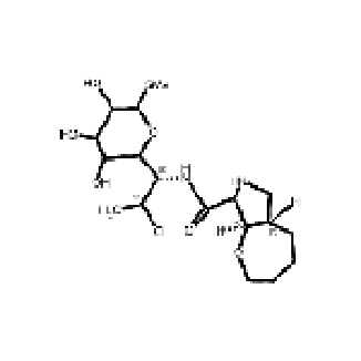 CSC1OC([C@H](NC(=O)C2NC[C@@H]3CCCCO[C@@H]23)[C@H](C)Cl)C(O)C(O)C1O